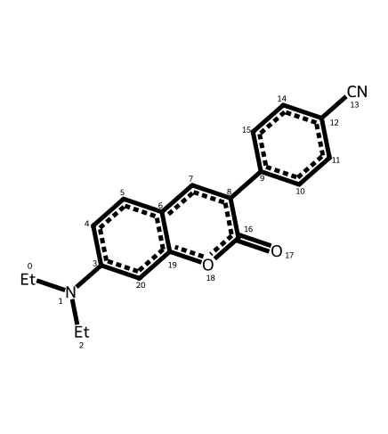 CCN(CC)c1ccc2cc(-c3ccc(C#N)cc3)c(=O)oc2c1